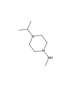 CNN1CCN(C(C)C)CC1